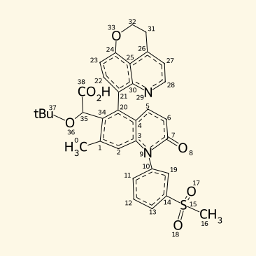 Cc1cc2c(ccc(=O)n2-c2cccc(S(C)(=O)=O)c2)c(-c2ccc3c4c(ccnc24)CCO3)c1C(OC(C)(C)C)C(=O)O